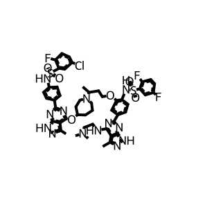 Cc1n[nH]c2nc(-c3ccc(NS(=O)(=O)c4cc(F)ccc4F)c(OCCC(C)N4CCCC(Oc5nc(-c6ccc(NS(=O)(=O)c7cc(Cl)ccc7F)cc6)nc6[nH]nc(C)c56)CC4)c3)nc(NCCN(C)C)c12